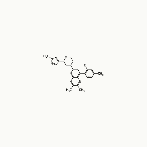 Cc1ccc(-c2cc(C3CCOC(c4cnn(C)c4)C3)nc3nc(C)c(C)nc23)c(F)c1